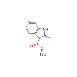 CC(C)(C)OC(=O)n1c(=O)[nH]c2cnccc21